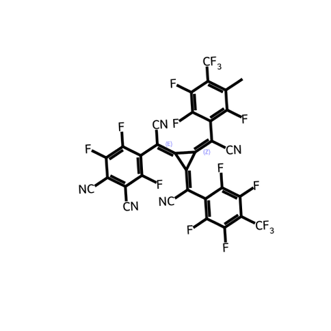 Cc1c(F)c(/C(C#N)=C2/C(=C(C#N)c3c(F)c(F)c(C(F)(F)F)c(F)c3F)/C2=C(/C#N)c2c(F)c(F)c(C#N)c(C#N)c2F)c(F)c(F)c1C(F)(F)F